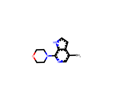 Bc1cnc(N2CCOCC2)c2[nH]ccc12